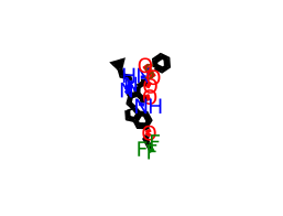 O=C1N[C@@]2(CCc3cc(OCC(F)(F)F)ccc32)Cc2nn(CCC3CC3)c(C(=O)NS(=O)(=O)c3ccccc3)c21